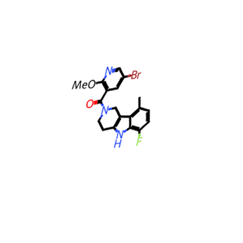 COc1ncc(Br)cc1C(=O)N1CCc2[nH]c3c(F)ccc(C)c3c2C1